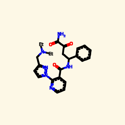 CCN(CC)Cc1ccn(-c2ncccc2C(=O)NC(CC(=O)C(N)=O)c2ccccc2)n1